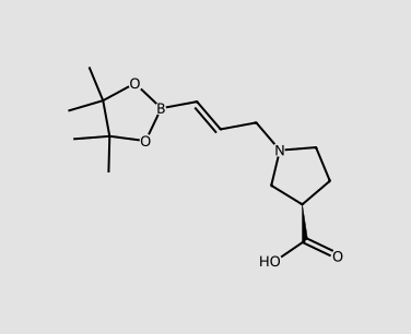 CC1(C)OB(/C=C/CN2CC[C@@H](C(=O)O)C2)OC1(C)C